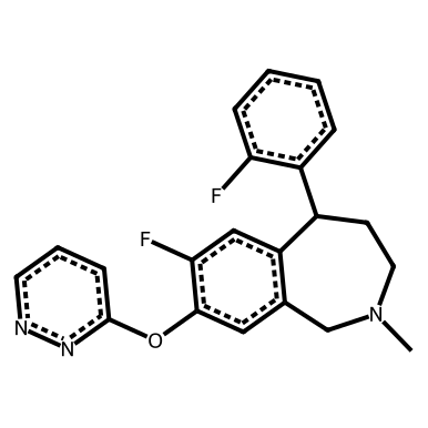 CN1CCC(c2ccccc2F)c2cc(F)c(Oc3cccnn3)cc2C1